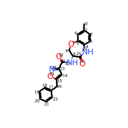 Cc1ccc2c(c1)OC[C@@H](NC(=O)c1cc(Cc3ccccc3)on1)C(=O)N2